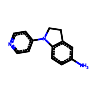 Nc1ccc2c(c1)CCN2c1ccncc1